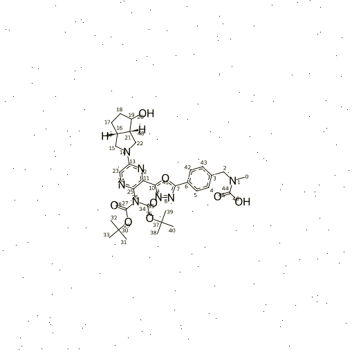 CN(Cc1ccc(-c2nnc(-c3nc(N4C[C@@H]5CCC(O)[C@@H]5C4)cnc3N(C(=O)OC(C)(C)C)C(=O)OC(C)(C)C)o2)cc1)C(=O)O